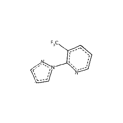 FC(F)(F)c1cccnc1-n1c[c]cn1